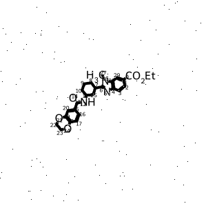 CCOC(=O)c1ccc2nc(C3CCCC(NC(=O)c4ccc5c(c4)OCCO5)C3)n(C)c2c1